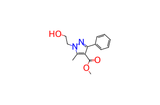 COC(=O)c1c(-c2ccccc2)nn(CCO)c1C